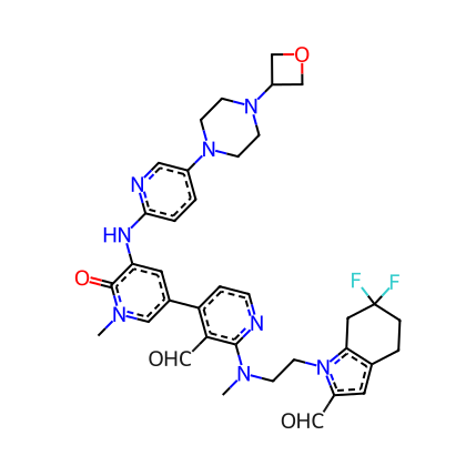 CN(CCn1c(C=O)cc2c1CC(F)(F)CC2)c1nccc(-c2cc(Nc3ccc(N4CCN(C5COC5)CC4)cn3)c(=O)n(C)c2)c1C=O